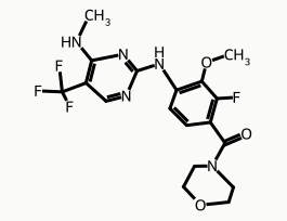 CNc1nc(Nc2ccc(C(=O)N3CCOCC3)c(F)c2OC)ncc1C(F)(F)F